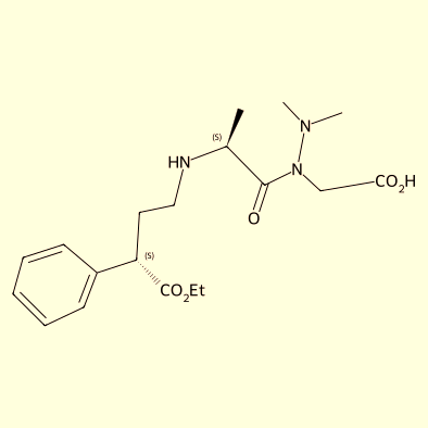 CCOC(=O)[C@@H](CCN[C@@H](C)C(=O)N(CC(=O)O)N(C)C)c1ccccc1